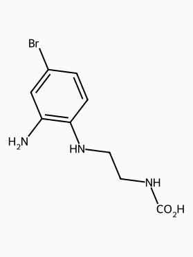 Nc1cc(Br)ccc1NCCNC(=O)O